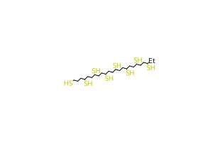 CCC(S)CCC(S)CCC(S)CC[C@@H](S)CCC(S)CCC(S)CC[C@@H](S)CCCS